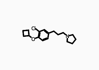 Clc1cc(CCCN2CCCC2)ccc1OC1CCC1